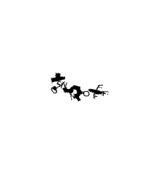 Cc1nc(C=N[S+]([O-])C(C)(C)C)ccc1OCC(F)(F)F